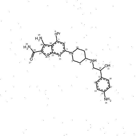 CCCc1cc(N2CCC(NCC(O)c3ccc(N)cc3)CC2)nc2sc(C(N)=O)c(N)c12